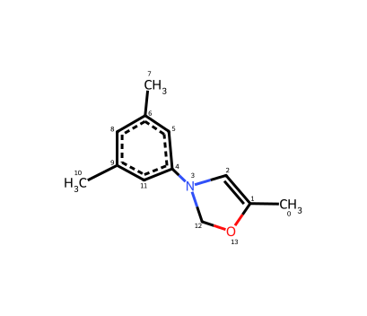 CC1=CN(c2cc(C)cc(C)c2)CO1